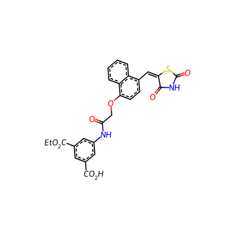 CCOC(=O)c1cc(NC(=O)COc2ccc(C=C3SC(=O)NC3=O)c3ccccc23)cc(C(=O)O)c1